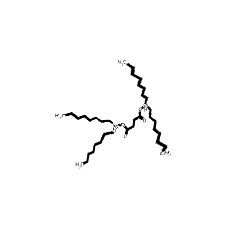 CCCCCCC[CH2][SnH]([CH2]CCCCCCC)[O]C(=O)CCC(=O)[O][SnH]([CH2]CCCCCCC)[CH2]CCCCCCC